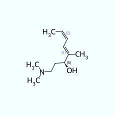 C/C=C\C=C(/C)[C@@H](O)CCN(C)C